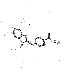 C=C(C(=O)O)c1ccc(/C=C2\Oc3ccc(C)cc3C2=O)cc1